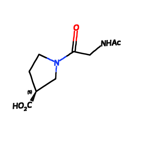 CC(=O)NCC(=O)N1CC[C@H](C(=O)O)C1